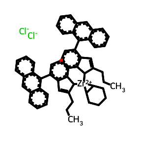 CCCC1=Cc2c(-c3c4ccccc4cc4ccccc34)cccc2[CH]1[Zr+2]1([CH]2C(CCC)=Cc3c(-c4c5ccccc5cc5ccccc45)cccc32)[CH]2CCCC[CH]21.[Cl-].[Cl-]